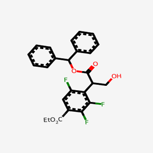 CCOC(=O)c1cc(F)c(C(CO)C(=O)OC(c2ccccc2)c2ccccc2)c(F)c1F